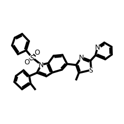 Cc1ccccc1-c1cc2cc(-c3nc(-c4ccccn4)sc3C)ccc2n1S(=O)(=O)c1ccccc1